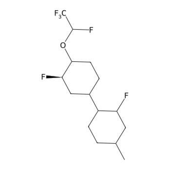 CC1CCC(C2CCC(OC(F)C(F)(F)F)[C@H](F)C2)C(F)C1